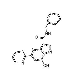 O=C(NCc1ccccc1)c1cnn2c(O)cc(-c3ccccn3)nc12